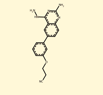 N#CCCOc1cccc(-c2ccc3nc(N)nc(NN)c3c2)c1